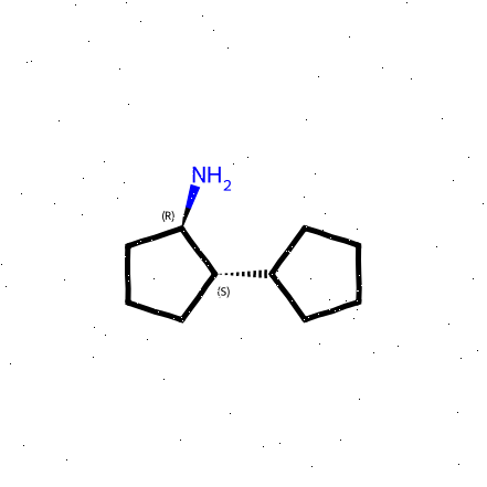 N[C@@H]1CCC[C@H]1C1CCCC1